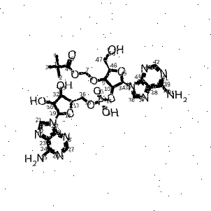 CC(C)(C)C(=O)OCOC1C(OP(=O)(O)OC[C@H]2O[C@@H](n3cnc4c(N)ncnc43)C(O)C2O)[C@H](n2cnc3c(N)ncnc32)O[C@@H]1CO